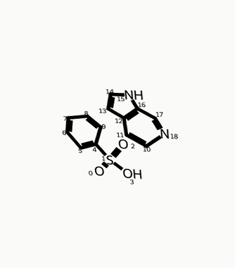 O=S(=O)(O)c1ccccc1.c1cc2cc[nH]c2cn1